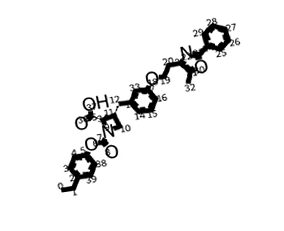 CCc1ccc(OC(=O)N2C[C@@H](Cc3cccc(OCCc4nc(-c5ccccc5)oc4C)c3)[C@H]2C(=O)O)cc1